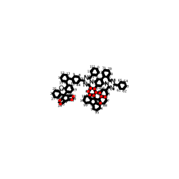 c1ccc(-c2nc(-c3ccc(-c4ccccc4-c4cccc5c4Oc4ccccc4C54c5ccccc5-c5ccccc54)cc3)nc(-c3cccc(-c4cccc(-c5nc(-c6ccccc6)nc(-c6ccccc6-c6ccc(-c7cccc8c7Oc7ccccc7C87c8ccccc8-c8ccccc87)cc6)n5)c4)c3)n2)cc1